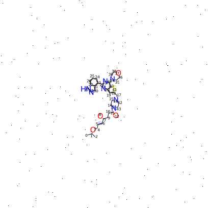 CC(C)OC/C=C/C(=O)CCC(=O)N1CCN(Cc2cc3nc(-c4cccc5[nH]ncc45)nc(N4CCOCC4)c3s2)CC1